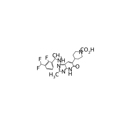 Cc1nc(N[C@H](C)c2cccc(C(F)F)c2F)c2cc(C3CCN(C(=O)O)CC3)c(=O)[nH]c2n1